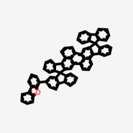 c1ccc2c(c1)-c1ccccc1C21c2ccccc2-c2c1cc1c3cccc4c5c(cc(c6cccc2c61)c43)C1(c2ccccc2-c2ccc(-c3cccc4c3oc3ccccc34)cc21)c1ccccc1-5